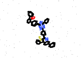 c1ccc(-c2ccc3c(c2)nc(-c2ccc(-c4nc(-c5ccccc5)nc(-c5ccc(-c6cccc7c6oc6ccccc67)cc5)n4)cc2)c2sc4ccccc4c23)cc1